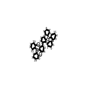 c1ccc(S(c2ccccc2)(c2ccccc2)c2cccc(-c3ccc4c5c3Oc3ccccc3B5c3ccccc3O4)c2)cc1